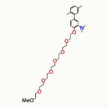 COCCOCCOCCOCCOCCOCCOCCOc1ccc(-c2cc(C)ccc2C)cc1N(C)C